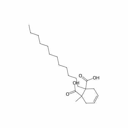 CCCCCCCCCCCCC1(C(=O)O)CC=CCC1(C)C(=O)O